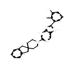 Clc1cccc(-c2nc3nc(N4CCC5(CC4)Cc4ccccc4C5)ncc3[nH]2)c1Cl